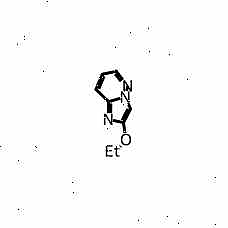 CCOc1cn2ncccc2n1